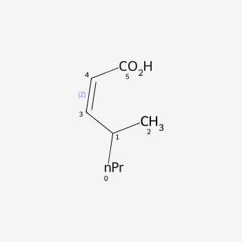 CCCC(C)/C=C\C(=O)O